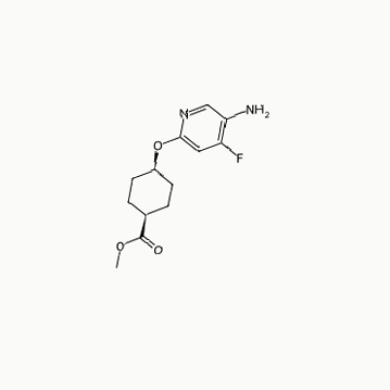 COC(=O)[C@H]1CC[C@@H](Oc2cc(F)c(N)cn2)CC1